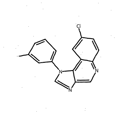 [CH2]c1cccc(-n2cnc3cnc4ccc(Cl)cc4c32)c1